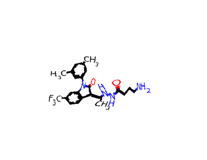 C/C(NNC(=O)CCCN)=C1/C(=O)N(c2cc(C)cc(C)c2)c2cc(C(F)(F)F)ccc21